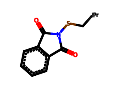 CC(C)CSN1C(=O)c2ccccc2C1=O